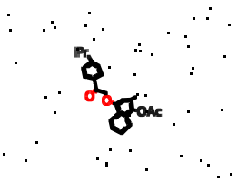 CC(=O)Oc1c(C)cc(OCC(=O)c2ccc(C(C)C)cc2)c2ccccc12